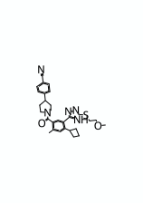 COCCSc1nnc(-c2cc(C(=O)N3CCC(c4ccc(C#N)cc4)CC3)c(C)cc2C2CCC2)[nH]1